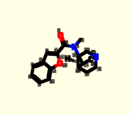 CN(C(=O)c1cc2ccccc2o1)[C@H]1CN2CCC1CC2